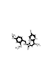 COc1ccc(CNS(=O)(=O)C[C@H](C)c2ncc(F)cn2)c(OC)c1